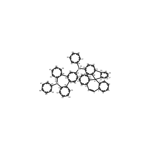 C1=Cc2ccccc2C2(c3ccccc31)c1ccccc1-c1ccc(N(c3ccccc3)c3ccc4c(c3)-c3ccccc3N(c3ccccc3)c3ccccc3-4)cc12